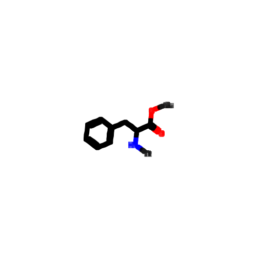 CCNC(Cc1ccccc1)C(=O)OC(C)(C)C